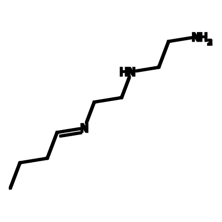 CCCC=NCCNCCN